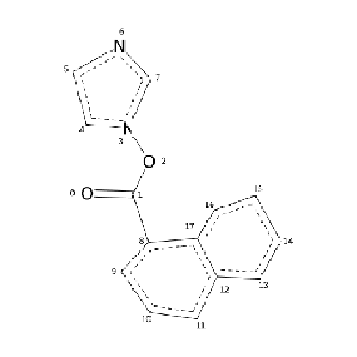 O=C(On1ccnc1)c1cccc2ccccc12